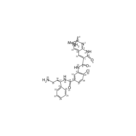 C=C(/N=C1/NC(=O)C(C(=O)Nc2cc(C(=O)N[C@H](CCN)c3ccccc3)ccc2Cl)=C/C1=C/N)OC